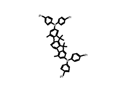 Cc1cc(N(c2ccc(C(C)C)cc2)c2ccc(C(C)C)cc2)cc2c1-c1ccc3c(c1C2(C)C)C(C)(C)c1cc(N(c2ccc(C(C)C)cc2)c2ccc(C(C)C)cc2)cc(C)c1-3